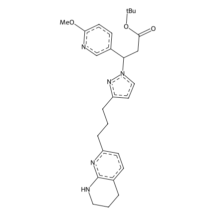 COc1ccc(C(CC(=O)OC(C)(C)C)n2ccc(CCCc3ccc4c(n3)NCCC4)n2)cn1